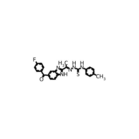 C/C(=N\NC(=S)Nc1ccc(C)cc1)c1nc2cc(C(=O)c3ccc(F)cc3)ccc2[nH]1